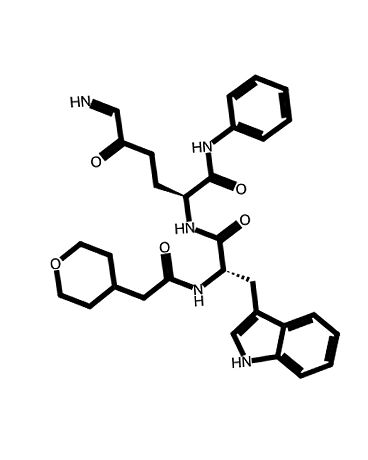 N=CC(=O)CC[C@H](NC(=O)[C@H](Cc1c[nH]c2ccccc12)NC(=O)CC1CCOCC1)C(=O)Nc1ccccc1